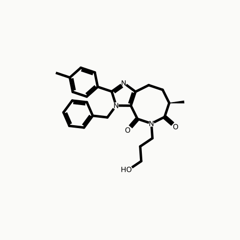 Cc1ccc(-c2nc3c(n2Cc2ccccc2)C(=O)N(CCCO)C(=O)[C@H](C)CC3)cc1